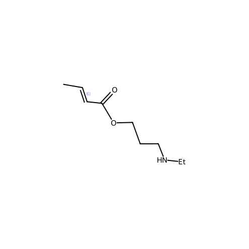 C/C=C/C(=O)OCCCNCC